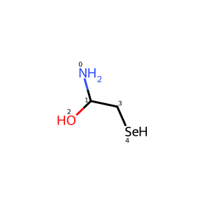 NC(O)C[SeH]